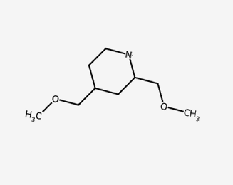 COC[C]1CC[N]C(COC)C1